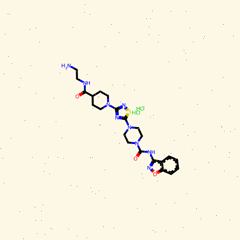 Cl.Cl.NCCNC(=O)C1CCN(c2nsc(N3CCN(C(=O)Nc4noc5ccccc45)CC3)n2)CC1